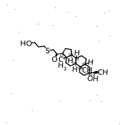 C#C[C@@]1(O)CC[C@@]2(C)[C@H](CC[C@@H]3[C@@H]2CC[C@]2(C)[C@@H](C(=O)CSCCCO)CC[C@@H]32)C1